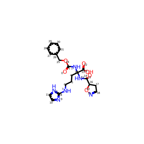 O=C(NC(CCCNc1ncc[nH]1)(NC(=O)C1CC=NO1)C(=O)O)OCc1ccccc1